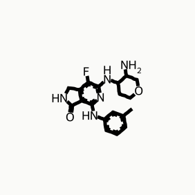 Cc1cccc(Nc2nc(NC3CCOCC3N)c(F)c3c2C(=O)NC3)c1